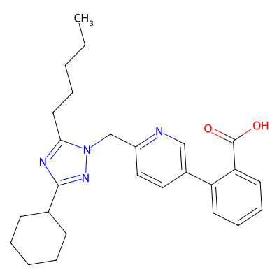 CCCCCc1nc(C2CCCCC2)nn1Cc1ccc(-c2ccccc2C(=O)O)cn1